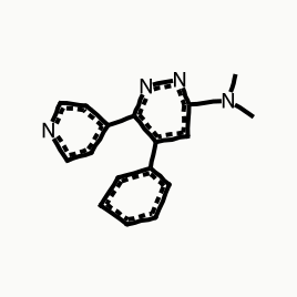 CN(C)c1cc(-c2ccccc2)c(-c2ccncc2)nn1